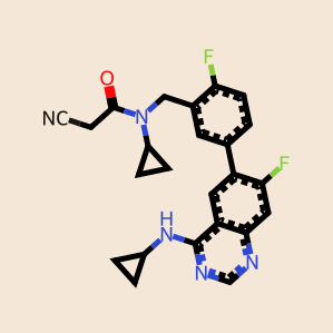 N#CCC(=O)N(Cc1cc(-c2cc3c(NC4CC4)ncnc3cc2F)ccc1F)C1CC1